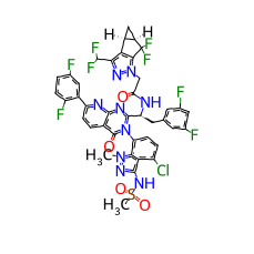 Cn1nc(NS(C)(=O)=O)c2c(Cl)ccc(-n3c([C@H](Cc4cc(F)cc(F)c4)NC(=O)Cn4nc(C(F)F)c5c4C(F)(F)[C@@H]4C[C@H]54)nc4nc(-c5cc(F)ccc5F)ccc4c3=O)c21